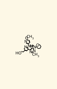 COc1ccc(Nc2ncc(CCO)cc2-c2nc(C)nc3c2ncn3C2CCCCO2)cn1